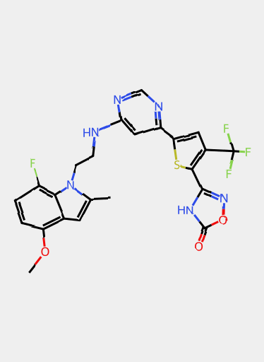 COc1ccc(F)c2c1cc(C)n2CCNc1cc(-c2cc(C(F)(F)F)c(-c3noc(=O)[nH]3)s2)ncn1